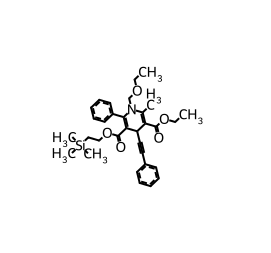 CCOCN1C(C)=C(C(=O)OCC)C(C#Cc2ccccc2)C(C(=O)OCC[Si](C)(C)C)=C1c1ccccc1